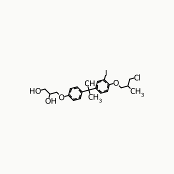 CC(CCl)COc1ccc(C(C)(C)c2ccc(OCC(O)CO)cc2)cc1I